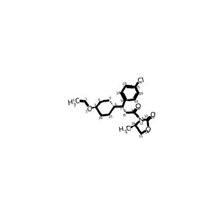 CCO[C@H]1CC[C@H]([C@@H](CC(=O)N2C(=O)OC[C@H]2C)c2ccc(Cl)cc2)CC1